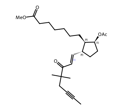 CC#CCC(C)(C)C(=O)/C=C/[C@H]1CC[C@H](OC(C)=O)[C@@H]1CCCCCCC(=O)OC